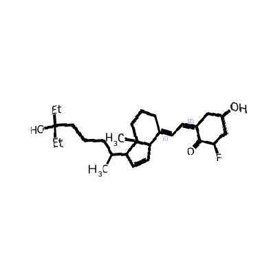 CCC(O)(CC)CCCC(C)C1C=CC2/C(=C/C=C3/CC(O)CC(F)C3=O)CCCC21C